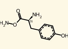 NOC(=O)[C@@H](N)Cc1ccc(O)cc1